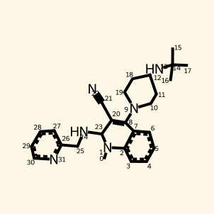 CN1c2ccccc2C(N2CCC(NC(C)(C)C)CC2)=C(C#N)C1NCc1ccccn1